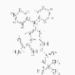 CC(C)(C)OC(=O)CNC1SC(N(c2ccccc2)c2ccncn2)=NC1C(=N)C(N)=O